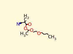 C=C(C#N)C(=O)OC(C)OCCOCCCC